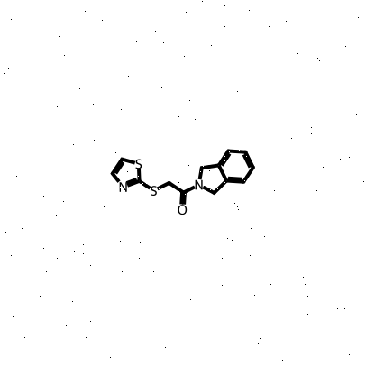 O=C(CSc1nccs1)N1Cc2ccccc2C1